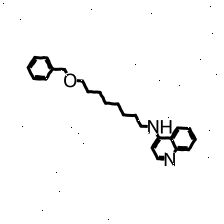 c1ccc(COCCCCCCCCNc2ccnc3ccccc23)cc1